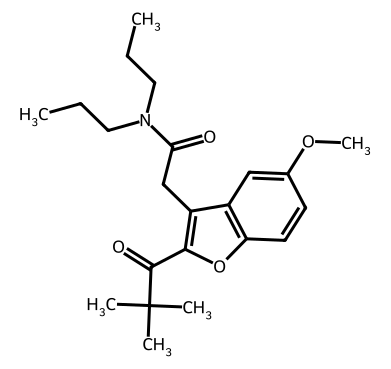 CCCN(CCC)C(=O)Cc1c(C(=O)C(C)(C)C)oc2ccc(OC)cc12